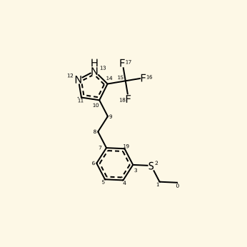 CCSc1cccc(CCc2[c]n[nH]c2C(F)(F)F)c1